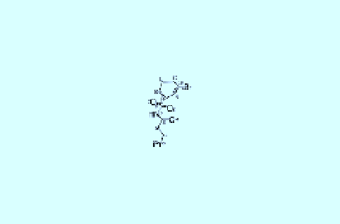 CC(C)C[CH]C(=O)NS(=O)(=O)c1cccc(Br)c1